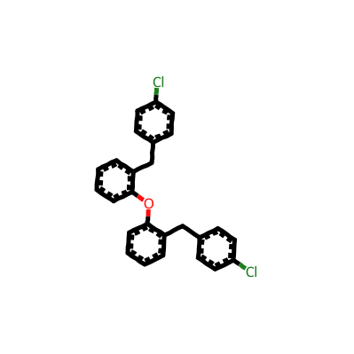 Clc1ccc(Cc2ccccc2Oc2ccccc2Cc2ccc(Cl)cc2)cc1